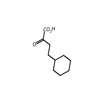 O=C(O)C(=O)CCC1CCCCC1